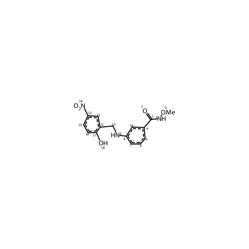 CONC(=O)c1cccc(NCc2cc([N+](=O)[O-])ccc2O)c1